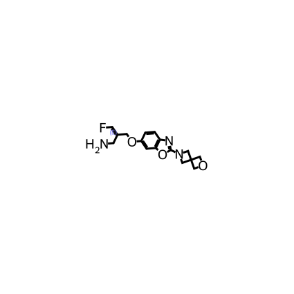 NC/C(=C\F)COc1ccc2nc(N3CC4(COC4)C3)oc2c1